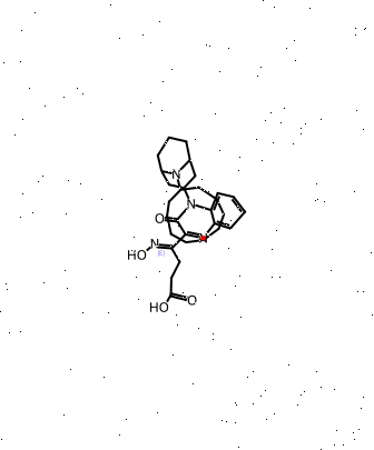 O=C(O)CC/C(=N\O)c1nc2ccccc2n(C2CC3CCCC(C2)N3C2CCCCCCCCC2)c1=O